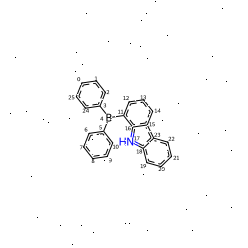 c1ccc(B(c2ccccc2)c2cccc3c2[nH]c2ccccc23)cc1